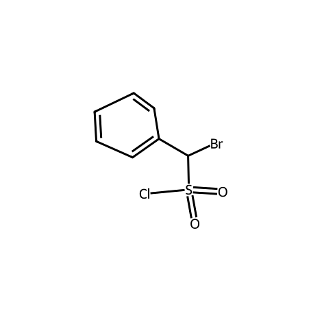 O=S(=O)(Cl)C(Br)c1ccccc1